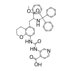 COC(=O)C(Cc1ccc(NC(=O)Nc2cnccc2C(=O)O)c2c1CCCO2)NC(c1ccccc1)(c1ccccc1)c1ccccc1